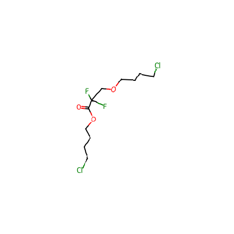 O=C(OCCCCCl)C(F)(F)COCCCCCl